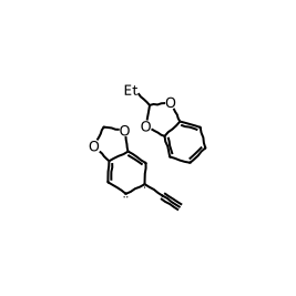 C#C[C]1[C]C=C2OCOC2=C1.CCC1Oc2ccccc2O1